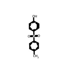 Cc1ccc(S(=O)(=O)c2c#cc(O)cc2)cc1